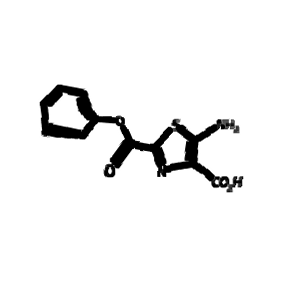 Nc1sc(C(=O)Oc2ccccc2)nc1C(=O)O